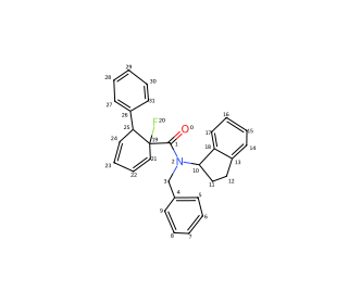 O=C(N(Cc1ccccc1)C1CCc2ccccc21)C1(F)C=CC=CC1c1ccccc1